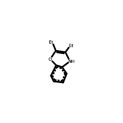 CCC1=C(CC)Oc2ccccc2N1